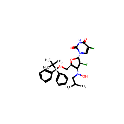 CC(C)CN(O)[C@H]1[C@H](F)[C@@H](n2cc(F)c(=O)[nH]c2=O)O[C@@H]1CO[Si](c1ccccc1)(c1ccccc1)C(C)(C)C